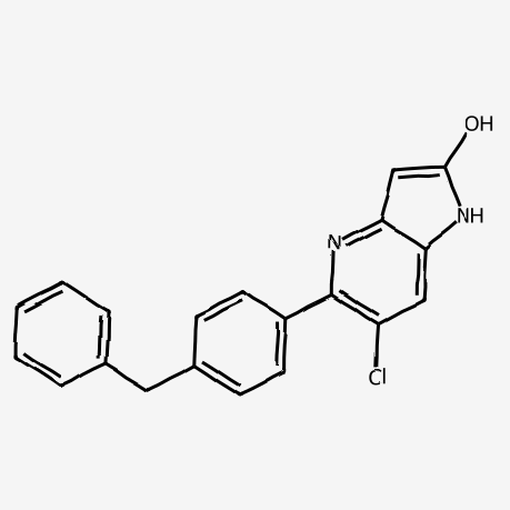 Oc1cc2nc(-c3ccc(Cc4ccccc4)cc3)c(Cl)cc2[nH]1